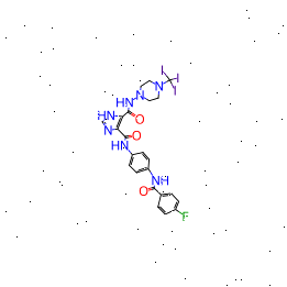 O=C(Nc1ccc(NC(=O)c2nc[nH]c2C(=O)NN2CCN(C(I)(I)I)CC2)cc1)c1ccc(F)cc1